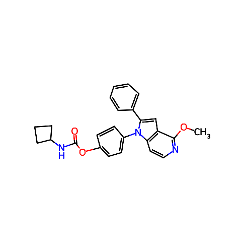 COc1nccc2c1cc(-c1ccccc1)n2-c1ccc(OC(=O)NC2CCC2)cc1